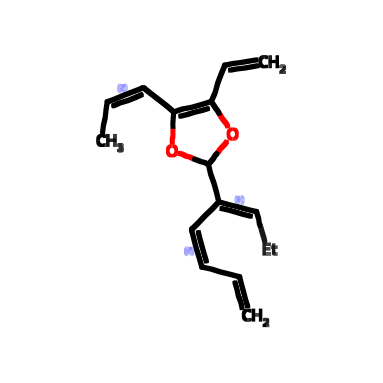 C=C/C=C\C(=C/CC)C1OC(C=C)=C(/C=C\C)O1